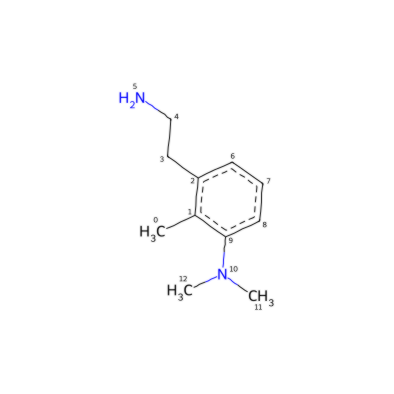 Cc1c(CCN)cccc1N(C)C